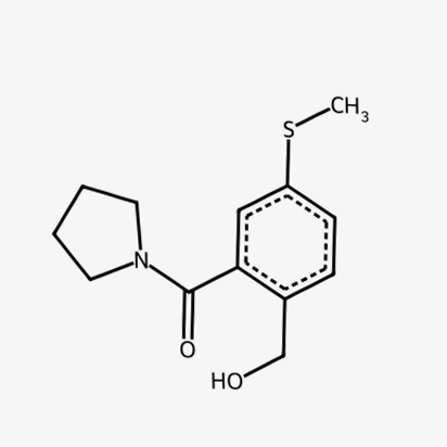 CSc1ccc(CO)c(C(=O)N2CCCC2)c1